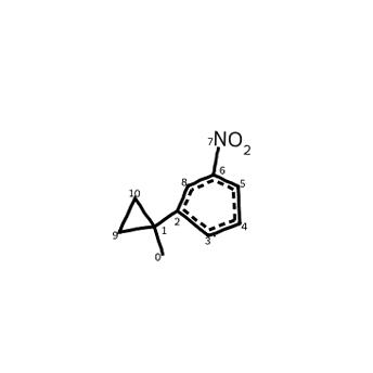 CC1(c2[c]ccc([N+](=O)[O-])c2)CC1